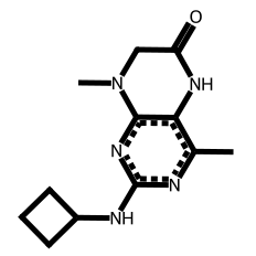 Cc1nc(NC2CCC2)nc2c1NC(=O)CN2C